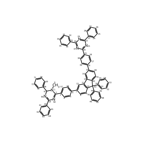 CN1C(c2ccc(-c3ccc4c(c3)-c3cc(-c5ccc(-c6nc(-c7ccccc7)nc(-c7ccccc7)n6)cc5)ccc3C4(c3ccccc3)c3ccccc3)cc2)=NC(c2ccccc2)=NC1c1ccccc1